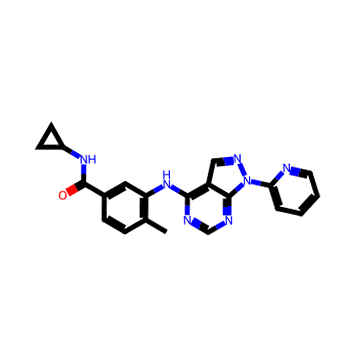 Cc1ccc(C(=O)NC2CC2)cc1Nc1ncnc2c1cnn2-c1ccccn1